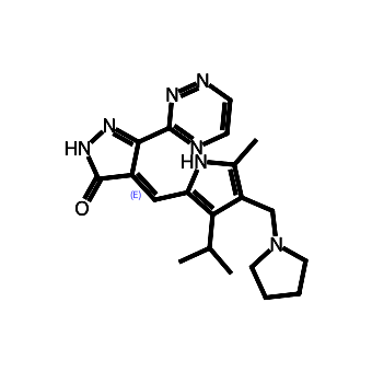 Cc1[nH]c(/C=C2/C(=O)NN=C2c2nccnn2)c(C(C)C)c1CN1CCCC1